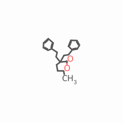 CC1CCC(CCc2ccccc2)(CCc2ccccc2)C(=O)O1